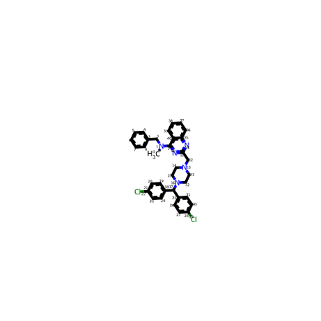 CN(Cc1ccccc1)c1nc(CN2CCN(C(c3ccc(Cl)cc3)c3ccc(Cl)cc3)CC2)nc2ccccc12